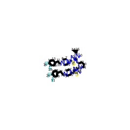 CN(c1nsc(N2CCN(CCc3ccc(F)c(F)c3)CC2)n1)C1CC1.Fc1ccc(CCN2CCN(c3nc(N4CCCC4)ns3)CC2)cc1F